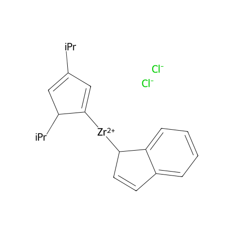 CC(C)C1=CC(C(C)C)[C]([Zr+2][CH]2C=Cc3ccccc32)=C1.[Cl-].[Cl-]